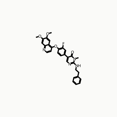 COc1cc2nccc(Oc3ccc(-c4cnc(NCCc5ccccc5)n(C)c4=O)cc3F)c2cc1OC